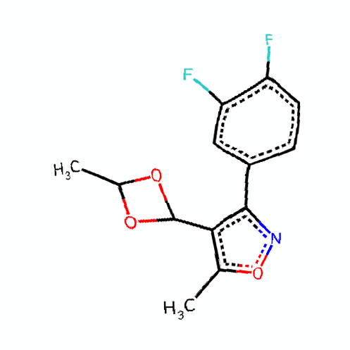 Cc1onc(-c2ccc(F)c(F)c2)c1C1OC(C)O1